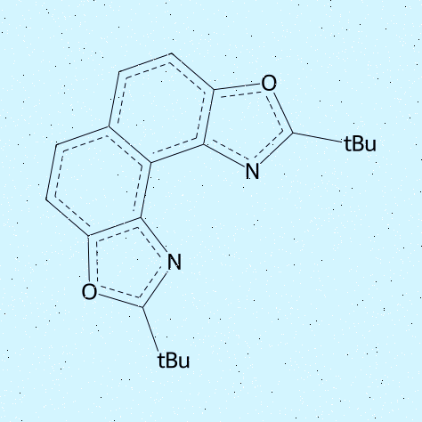 CC(C)(C)c1nc2c(ccc3ccc4oc(C(C)(C)C)nc4c32)o1